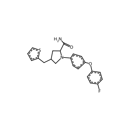 NC(=O)C1CC(Cc2cccs2)CN1c1ccc(Oc2ccc(F)cc2)cc1